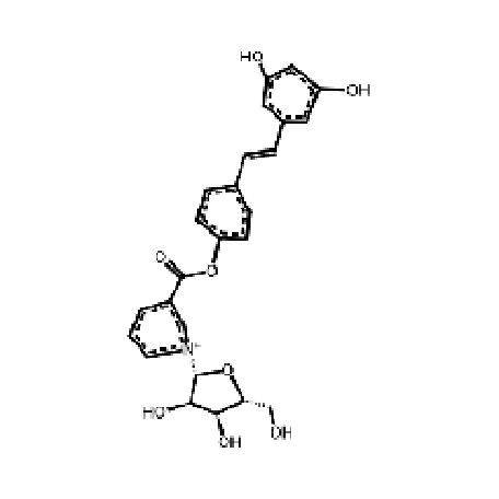 O=C(Oc1ccc(/C=C/c2cc(O)cc(O)c2)cc1)c1ccc[n+]([C@@H]2O[C@H](CO)[C@@H](O)[C@H]2O)c1